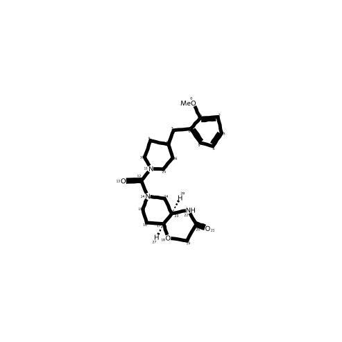 COc1ccccc1CC1CCN(C(=O)N2CC[C@@H]3OCC(=O)N[C@@H]3C2)CC1